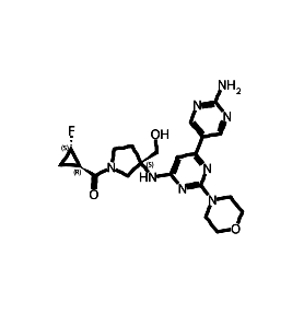 Nc1ncc(-c2cc(N[C@@]3(CO)CCN(C(=O)[C@H]4C[C@@H]4F)C3)nc(N3CCOCC3)n2)cn1